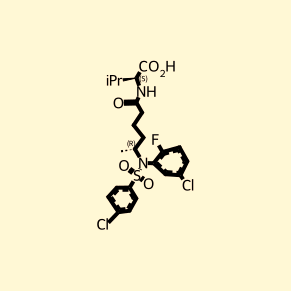 CC(C)[C@H](NC(=O)CCC[C@@H](C)N(c1cc(Cl)ccc1F)S(=O)(=O)c1ccc(Cl)cc1)C(=O)O